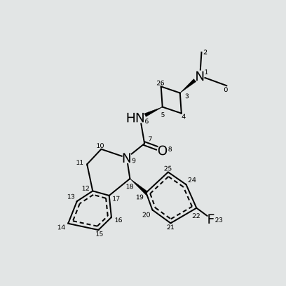 CN(C)[C@H]1C[C@@H](NC(=O)N2CCc3ccccc3[C@@H]2c2ccc(F)cc2)C1